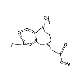 COC(=O)CC1CN(C)c2ccc(F)cc21